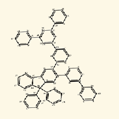 c1ccc(-c2cccc(-c3cc4c(cc3-c3cccc(-c5cc(-c6ccccc6)nc(-c6ccccc6)n5)c3)-c3ccccc3C4(c3ccccc3)c3ccccc3)c2)cc1